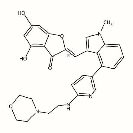 Cn1cc(/C=C2\Oc3cc(O)cc(O)c3C2=O)c2c(-c3ccc(NCCN4CCOCC4)nc3)cccc21